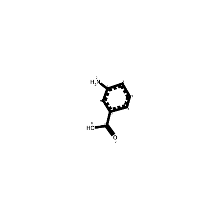 Nc1[c]ccc(C(=O)O)c1